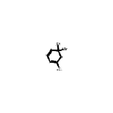 CCC1=CC=CC(Br)(CC)C1